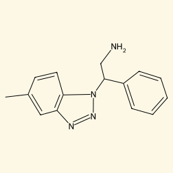 Cc1ccc2c(c1)nnn2C(CN)c1ccccc1